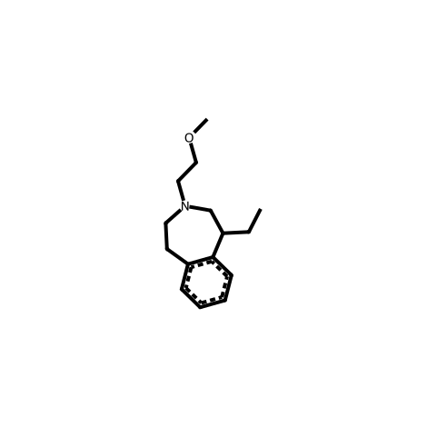 CCC1CN(CCOC)CCc2ccccc21